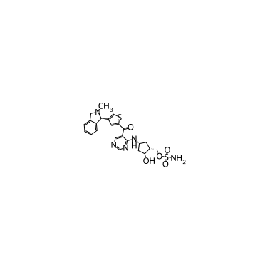 CN1Cc2ccccc2[C@@H]1c1csc(C(=O)c2cncnc2N[C@@H]2C[C@H](COS(N)(=O)=O)[C@@H](O)C2)c1